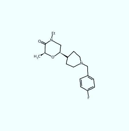 CCN1C[C@@H](C2CCN(Cc3ccc(F)cc3)CC2)O[C@@H](C)C1=O